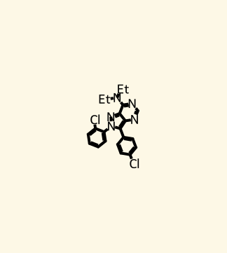 CCN(CC)c1ncnc2c(-c3ccc(Cl)cc3)n(-c3ccccc3Cl)nc12